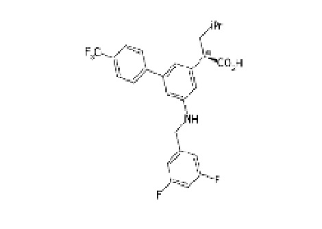 CC(C)C[C@@H](C(=O)O)c1cc(NCc2cc(F)cc(F)c2)cc(-c2ccc(C(F)(F)F)cc2)c1